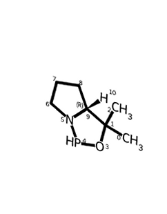 CC1(C)OPN2CCC[C@@H]21